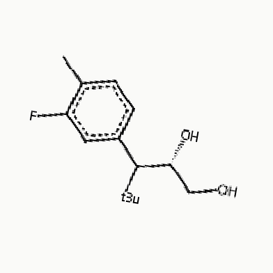 Cc1ccc(C([C@H](O)CO)C(C)(C)C)cc1F